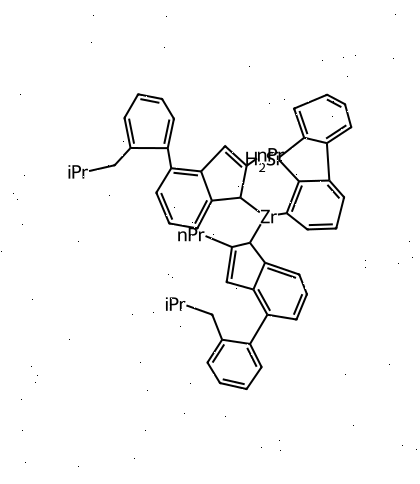 CCCC1=Cc2c(-c3ccccc3CC(C)C)cccc2[CH]1[Zr]([c]1cccc2c1[SiH2]c1ccccc1-2)[CH]1C(CCC)=Cc2c(-c3ccccc3CC(C)C)cccc21